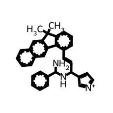 CC1(C)c2cc3ccccc3cc2-c2c(/C=C/C(NC(N)c3ccccc3)C3=CC=[N+]=C3)cccc21